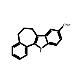 COc1ccc2[nH]c3c(c2c1)CCCc1ccccc1-3